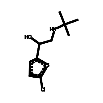 CC(C)(C)NCC(O)c1ccc(Cl)s1